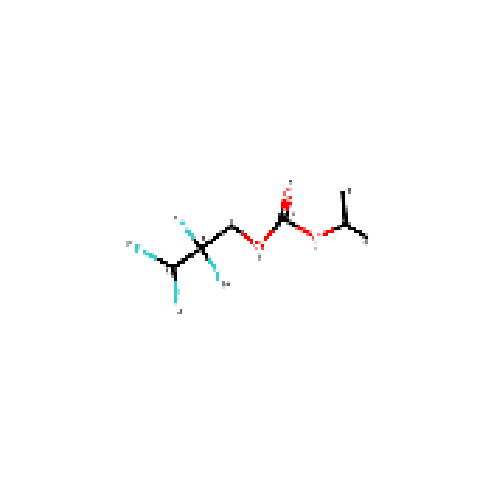 CC(C)OC(=O)OCC(F)(F)C(F)F